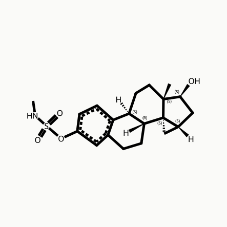 CNS(=O)(=O)Oc1ccc2c(c1)CC[C@@H]1[C@@H]2CC[C@]2(C)[C@@H](O)C[C@@H]3C[C@]312